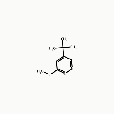 COc1cc(C(C)(C)C)cnn1